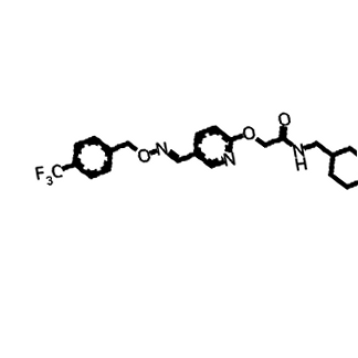 O=C(COc1ccc(C=NOCc2ccc(C(F)(F)F)cc2)cn1)NCC1CCOCC1